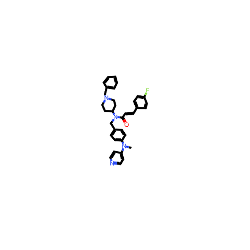 CN(c1ccncc1)c1ccc(CN(C(=O)/C=C/c2ccc(F)cc2)C2CCN(Cc3ccccc3)CC2)cc1